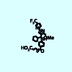 COCc1nn(-c2ccc(C(F)(F)F)cn2)cc1C(Nc1ccc(C(=O)N(C)CCC(=O)O)cc1)C1CCCCC1